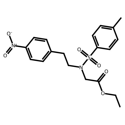 CCOC(=O)CN(CCc1ccc([N+](=O)[O-])cc1)S(=O)(=O)c1ccc(C)cc1